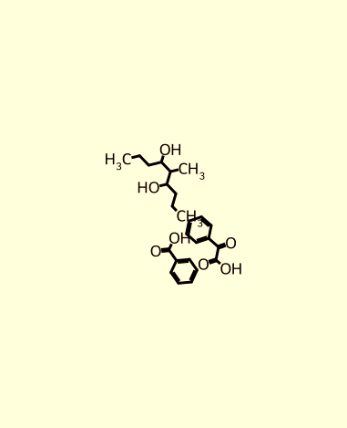 CCCC(O)C(C)C(O)CCC.O=C(O)C(=O)c1ccccc1.O=C(O)c1ccccc1